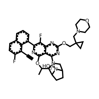 C#Cc1c(F)ccc2cccc(-c3nc4c5c(nc(OCC6(CN7CCOCC7)CC6)nc5c3F)N3CC5CCC(C3C(C)O4)N5C(=O)O)c12